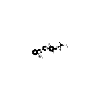 CN(Cc1ccccc1OC(F)(F)F)[C@H]1CCN(c2cc(F)c(/C=N/NC(N)=S)cc2F)C1